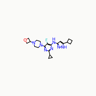 Fc1c(Nc2cc(C3CCC3)[nH]n2)nc(C2CC2)nc1N1CCN(C2COC2)CC1